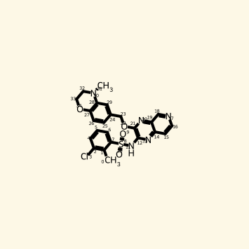 Cc1c(Cl)cccc1S(=O)(=O)Nc1nc2ccncc2nc1OCc1ccc2c(c1)N(C)CCO2